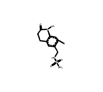 BS(=O)(=O)NCc1cc2c(cc1F)N(CCC)C(=O)CC2